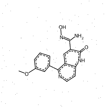 COc1cccc(-c2nccc3[nH]c(=O)c(C(N)=NO)cc23)c1